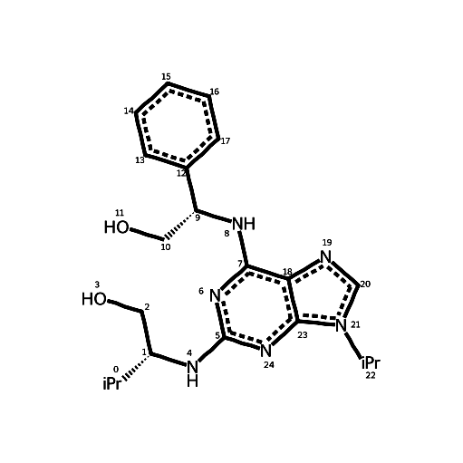 CC(C)[C@H](CO)Nc1nc(N[C@H](CO)c2ccccc2)c2ncn(C(C)C)c2n1